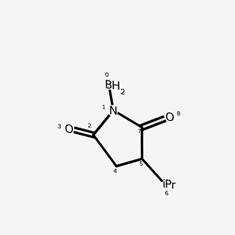 BN1C(=O)CC(C(C)C)C1=O